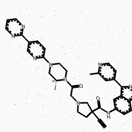 C#CC1(C(=O)Nc2ccc3[nH]nc(-c4ccnc(C)c4)c3c2)CCN(CC(=O)N2CCN(c3ccc(-c4ncccn4)cn3)C[C@H]2C)C1